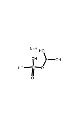 O=P(O)(O)OB(O)O.[NaH]